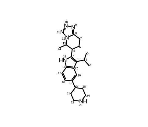 CC(C)c1c(C2CCc3nnnn3C2C)[nH]c2ccc(C3CCNCC3)cc12